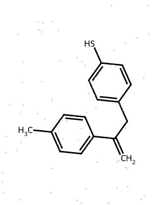 C=C(Cc1ccc(S)cc1)c1ccc(C)cc1